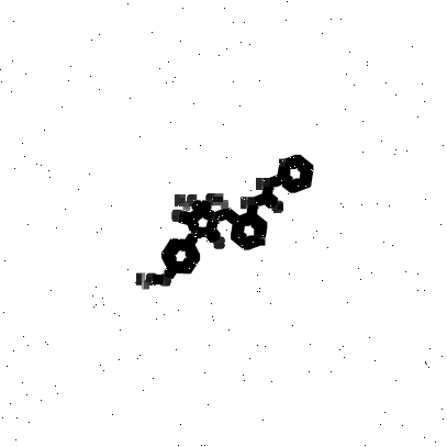 CC1(C)C(=O)N(c2ccc(OC(F)(F)F)cc2)C(=O)N1Cc1ccncc1NC(=O)Nc1ccccn1